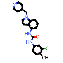 Cc1ccc(NC(=O)Nc2cccc3c2ccn3Cc2ccncc2)cc1Cl